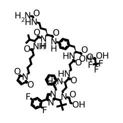 CC(C)[C@H](NC(=O)CCCCCN1C(=O)C=CC1=O)C(=O)N[C@@H](CCCNC(N)=O)C(=O)Nc1ccc(C[C@H](NC(=O)CCNC(=O)[C@@H](N)CCN(C(=O)CO)[C@@H](c2nc(-c3cc(F)ccc3F)cn2Cc2ccccc2)C(C)(C)C)C(=O)O)cc1.O=C(O)C(F)(F)F